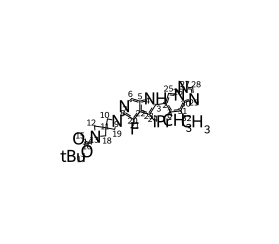 Cc1c(-c2[nH]c3cnc(N4CC5(CN(C(=O)OC(C)(C)C)C5)C4)c(F)c3c2C(C)C)cn2ncnc2c1C